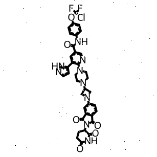 O=C1CCC(N2C(=O)c3ccc(N4CC(N5CCN(c6ncc(C(=O)Nc7ccc(OC(F)(F)Cl)cc7)cc6-c6ccn[nH]6)CC5)C4)cc3C2=O)C(=O)N1